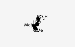 CNc1nc(-c2cccc(NC(=O)c3ccc(C(=O)O)cc3)c2)c2cc(CO)c(OC)cc2n1